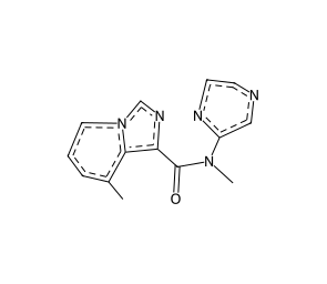 Cc1cccn2cnc(C(=O)N(C)c3cnccn3)c12